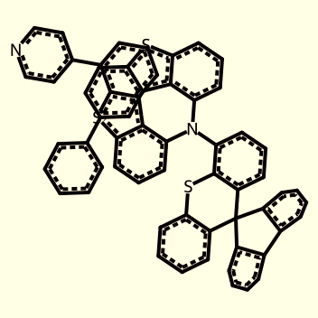 c1ccc(-c2ccc3sc4cccc(N(c5cccc6c5Sc5ccccc5C65c6ccccc6-c6ccccc65)c5cccc6sc7c(-c8ccncc8)cccc7c56)c4c3c2)cc1